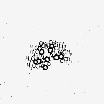 CC1(C)CC(C)(C)c2cc(N(c3cc4c5c(c3)N(c3ccc6c(c3)C(C)(C)CC6(C)C)c3cc6c(cc3B5c3ccccc3O4)C(C)(C)CC6(C)C)c3ccc4c(c3)C(C)(C)CC4(C)C)ccc21